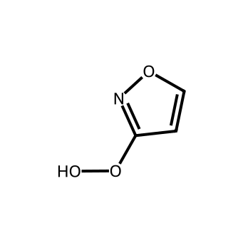 OOc1ccon1